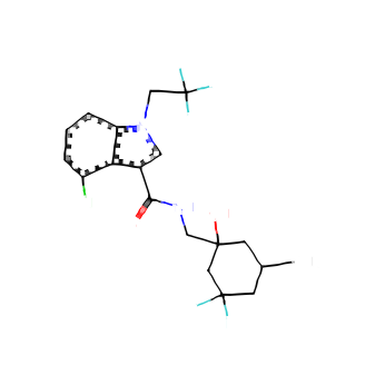 CC1CC(F)(F)CC(O)(CNC(=O)c2cn(CC(F)(F)F)c3cccc(Cl)c23)C1